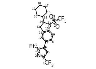 CCn1nc(C(F)(F)F)cc1-c1ccc2c(c1)CC(C1CCCCC1)N2S(=O)(=O)C(F)(F)F